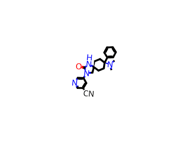 CN(C)[C@]1(c2ccccc2)CC[C@@]2(CC1)CN(c1cncc(C#N)c1)C(=O)N2